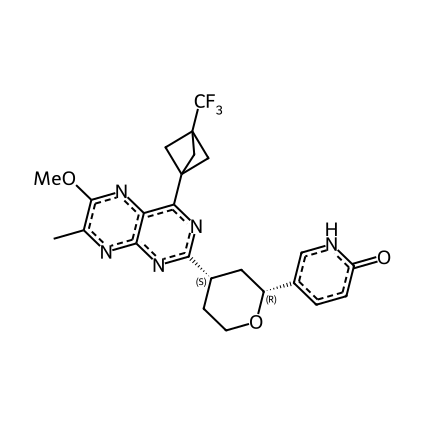 COc1nc2c(C34CC(C(F)(F)F)(C3)C4)nc([C@H]3CCO[C@@H](c4ccc(=O)[nH]c4)C3)nc2nc1C